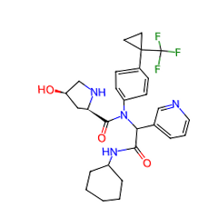 O=C(NC1CCCCC1)C(c1cccnc1)N(C(=O)[C@H]1C[C@@H](O)CN1)c1ccc(C2(C(F)(F)F)CC2)cc1